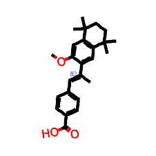 COc1cc2c(cc1/C(C)=C/c1ccc(C(=O)O)cc1)C(C)(C)CCC2(C)C